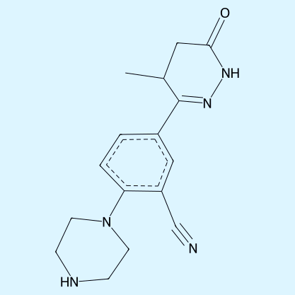 CC1CC(=O)NN=C1c1ccc(N2CCNCC2)c(C#N)c1